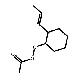 CC=CC1CCCCC1OOC(C)=O